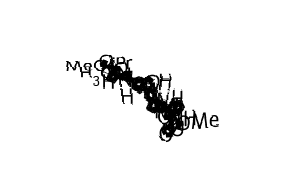 COC(=O)N[C@H](C(=O)N1[C@@H](C)CC[C@H]1c1ncc(-c2ccc3c(c2)COc2cc4c(ccc5nc([C@@H]6C[C@@H]7CCC[C@@H]7N6C(=O)[C@@H](NC(=O)OC)C6CCOCC6)[nH]c54)cc2-3)[nH]1)C(C)C